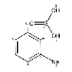 O=S(O)O.[Na][c]1ccccc1